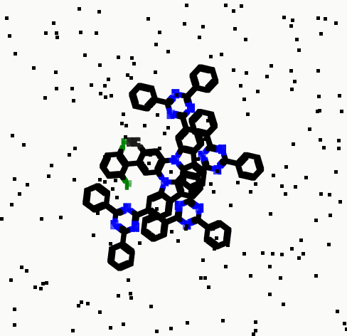 N#Cc1cc(-n2c3cc(-c4nc(-c5ccccc5)nc(-c5ccccc5)n4)ccc3c3ccc(-c4nc(-c5ccccc5)nc(-c5ccccc5)n4)cc32)c(-n2c3cc(-c4nc(-c5ccccc5)nc(-c5ccccc5)n4)ccc3c3ccc(-c4nc(-c5ccccc5)nc(-c5ccccc5)n4)cc32)cc1-c1c(F)cccc1F